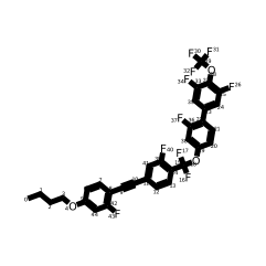 CCCCOc1ccc(C#Cc2ccc(C(F)(F)Oc3ccc(-c4cc(F)c(OC(F)(F)F)c(F)c4)c(F)c3)c(F)c2)c(F)c1